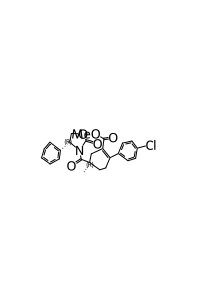 COC(=O)C1=C(c2ccc(Cl)cc2)CC[C@@](C)(C(=O)N2C(=O)OC[C@H]2c2ccccc2)C1